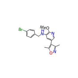 COc1ncc(-c2c(C)noc2C)cc1NCc1ccc(Br)cc1